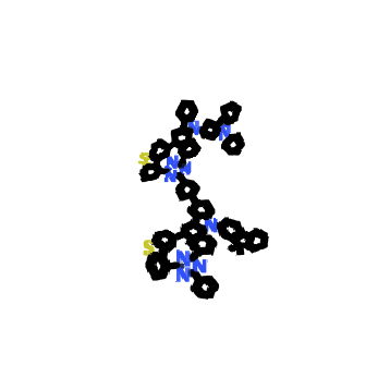 CC1(C)c2ccccc2-c2ccc(-n3c4ccc(-c5ccc(-c6nc(-c7ccccc7)nc(-c7cccc8sc9ccc(-c%10ccc%11c(c%10)c%10ccccc%10n%11-c%10ccc%11c(c%10)c%10ccccc%10n%11-c%10ccccc%10)cc9c78)n6)cc5)cc4c4cc(-c5ccc6sc7cccc(-c8nc(-c9ccccc9)nc(-c9ccccc9)n8)c7c6c5)ccc43)cc21